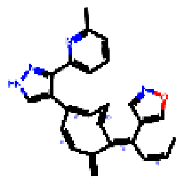 C=C1\C=C/C(c2c[nH]nc2-c2cccc(C)n2)=C/C=C/C1=C(/C=C\C)c1cnoc1